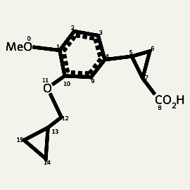 COc1ccc(C2CC2C(=O)O)cc1OCC1CC1